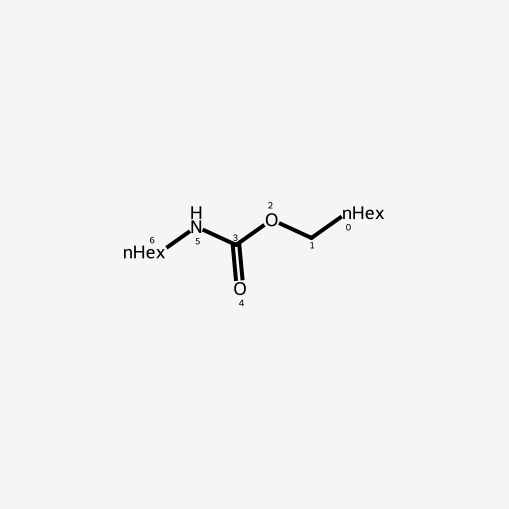 CCCCCCCOC(=O)NCCCCCC